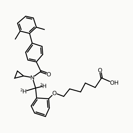 [2H]C([2H])(c1ccccc1OCCCCCC(=O)O)N(C(=O)c1ccc(-c2c(C)cccc2C)cc1)C1CC1